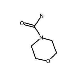 [N]C(=O)N1CCOCC1